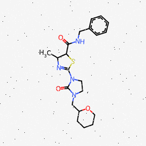 CC1N=C(N2CCN(CC3CCCCO3)C2=O)SC1C(=O)NCc1ccccc1